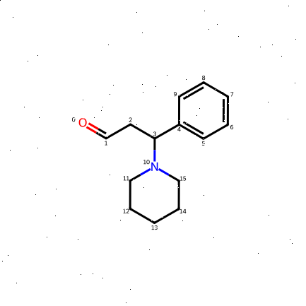 O=CCC(c1ccccc1)N1CCCCC1